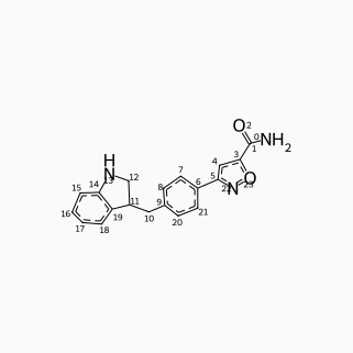 NC(=O)c1cc(-c2ccc(CC3CNc4ccccc43)cc2)no1